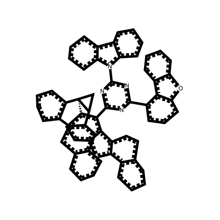 c1ccc2c(c1)-c1cc3ccccc3cc1C1C[C@]21c1ccc2oc3c4ccccc4ccc3c2c1-c1nc(-c2cccc3oc4ccccc4c23)nc(-n2c3ccccc3c3ccccc32)n1